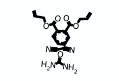 C=CCOC(=O)c1ccccc1C(=O)OCC=C.N#CC#N.NC(N)=O